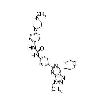 CCn1nnc2c(C3=CCOCC3)nc(-c3ccc(NC(=O)Nc4ccc(N5CCN(C)CC5)cc4)cc3)nc21